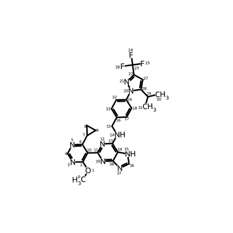 COc1ncnc(C2CC2)c1-c1nc(NCc2ccc(-n3nc(C(F)(F)F)cc3C(C)C)cc2)c2[nH]cnc2n1